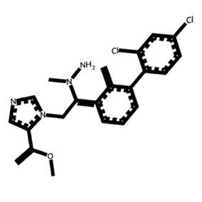 C=C(OC)c1cncn1C/C(=c1\cccc(-c2ccc(Cl)cc2Cl)c1=C)N(C)N